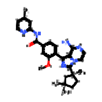 CCOc1cc(C(=O)Nc2cc(C(F)(F)F)ccn2)ccc1-c1nc([C@@]2(C)CC[C@](C)(C(=O)O)C2)n2ccnc(N)c12